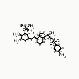 C=C1[C@H](C)C/C(=C/C=C2\CCC[C@]3(C)[C@@H]([C@@H](C)COS(=O)(=O)c4ccc(C)cc4)CC[C@@H]23)C[C@H]1O[Si](C)(C)C(C)(C)C